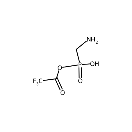 NCP(=O)(O)OC(=O)C(F)(F)F